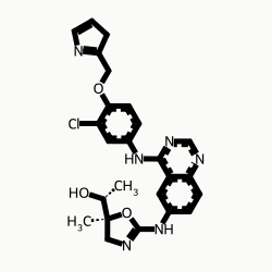 C[C@@H](O)[C@]1(C)CN=C(Nc2ccc3ncnc(Nc4ccc(OCC5=NC=CC5)c(Cl)c4)c3c2)O1